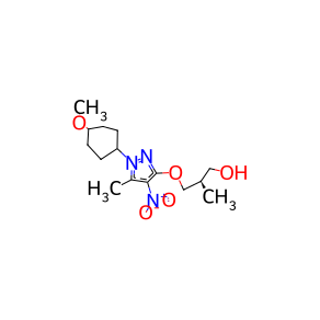 COC1CCC(n2nc(OC[C@H](C)CO)c([N+](=O)[O-])c2C)CC1